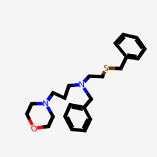 c1ccc(CSCCN(CCCN2CCOCC2)Cc2ccccc2)cc1